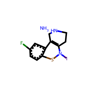 Fc1ccc2c(c1)C1=C(CCNC1)N(I)S2.N